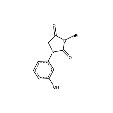 CCCCN1C(=O)CN(c2cccc(O)c2)C1=O